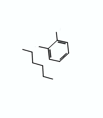 CCCCCC.Oc1ccccc1Cl